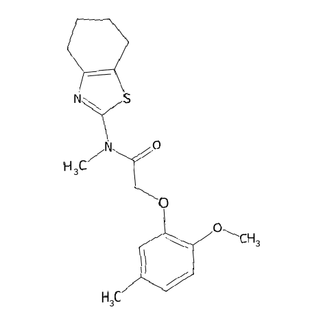 COc1ccc(C)cc1OCC(=O)N(C)c1nc2c(s1)CCCC2